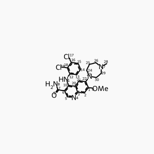 COc1cc2ncc(C(N)=O)c(Nc3cccc(Cl)c3Cl)c2cc1N1CCCN(C)CC1